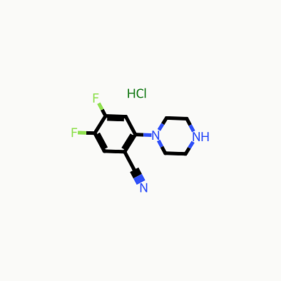 Cl.N#Cc1cc(F)c(F)cc1N1CCNCC1